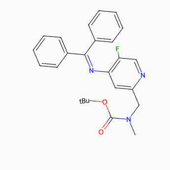 CN(Cc1cc(N=C(c2ccccc2)c2ccccc2)c(F)cn1)C(=O)OC(C)(C)C